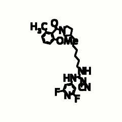 COc1cccc(C)c1C(=O)N1CCC(CCCCCCN/C(=N/C#N)Nc2cc(F)nc(F)c2)C1